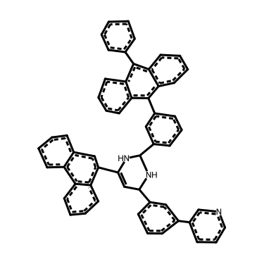 C1=C(c2cc3ccccc3c3ccccc23)NC(c2cccc(-c3c4ccccc4c(-c4ccccc4)c4ccccc34)c2)NC1c1cccc(-c2cccnc2)c1